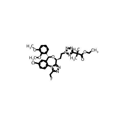 CCOC(=O)C(C)(C)c1nnn(CC[C@@H]2O[C@@H](c3cccc(OC)c3OC)c3cc(Cl)ccc3-n3c(CF)nnc32)n1